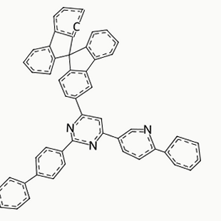 c1ccc(-c2ccc(-c3nc(-c4ccc(-c5ccccc5)nc4)cc(-c4ccc5c(c4)-c4ccccc4C54c5ccccc5-c5ccccc54)n3)cc2)cc1